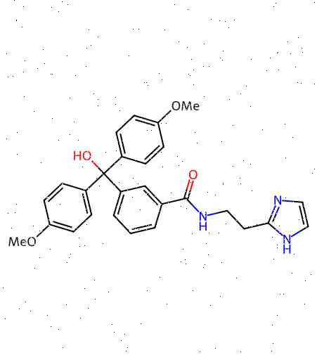 COc1ccc(C(O)(c2ccc(OC)cc2)c2cccc(C(=O)NCCc3ncc[nH]3)c2)cc1